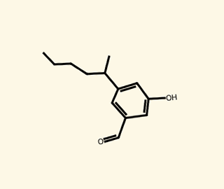 CCCCC(C)c1cc(O)cc(C=O)c1